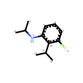 CC(C)Nc1cccc(F)c1C(C)C